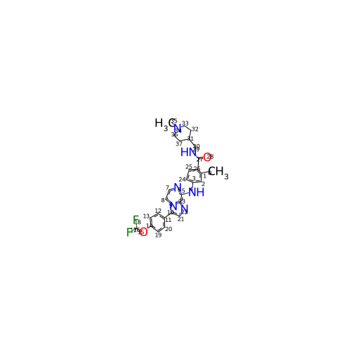 Cc1cc(Nc2nccn3c(-c4ccc(OC(F)F)cc4)cnc23)ccc1C(=O)NCC1CCN(C)CC1